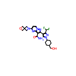 NC(=O)c1c(-c2cn(C3CCC(CO)CC3)nc2C(F)F)nn2ccc(N3CC4(COC4)C3)nc12